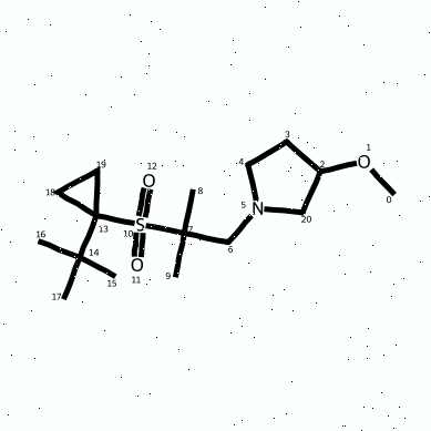 COC1CCN(CC(C)(C)S(=O)(=O)C2(C(C)(C)C)CC2)C1